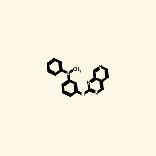 CN(c1ccccc1)c1cccc(Oc2ncc3ccncc3n2)c1